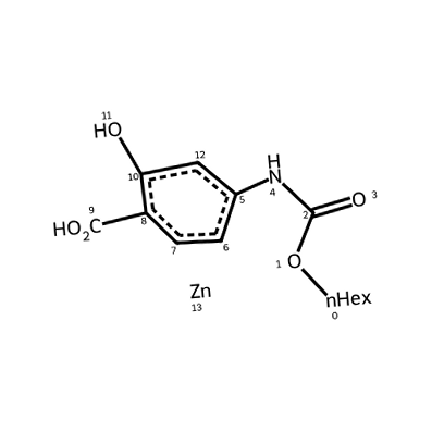 CCCCCCOC(=O)Nc1ccc(C(=O)O)c(O)c1.[Zn]